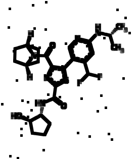 C[C@H](Nc1cc(C(F)F)c(-c2sc(C(=O)N[C@@H]3CCC[C@H]3O)nc2C(=O)N2[C@H]3CC[C@@H]2CC3)cn1)C(F)(F)F